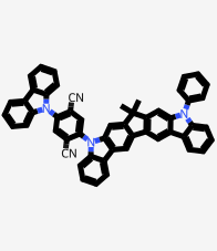 CC1(C)c2cc3c(cc2-c2cc4c5ccccc5n(-c5cc(C#N)c(-n6c7ccccc7c7ccccc76)cc5C#N)c4cc21)c1ccccc1n3-c1ccccc1